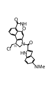 CNc1ccc2[nH]c(C(=O)N3C[C@@H](CCl)c4c3cc3c5c(cccc45)C(=O)NO3)cc2c1